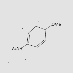 COC1C=CC(NC(C)=O)=CC1